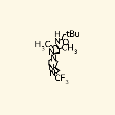 Cc1cc(N2CCn3nc(C(F)(F)F)cc3C2)nc(C)c1NC(=O)CC(C)(C)C